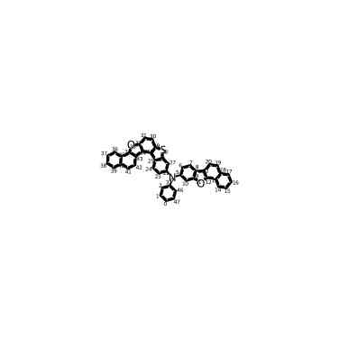 c1ccc(N(c2ccc3c(c2)oc2c4ccccc4ccc32)c2ccc3c(c2)sc2ccc4oc5c6ccccc6ccc5c4c23)cc1